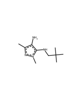 Cc1nn(C)c(NCC(C)(C)C)c1N